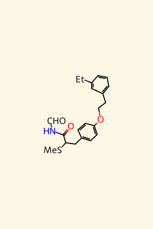 CCc1cccc(CCOc2ccc(CC(SC)C(=O)NC=O)cc2)c1